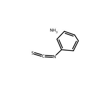 N.S=C=Nc1ccccc1